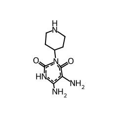 Nc1[nH]c(=O)n(C2CCNCC2)c(=O)c1N